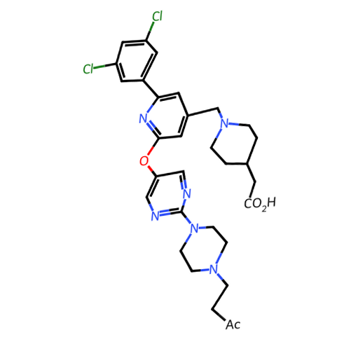 CC(=O)CCN1CCN(c2ncc(Oc3cc(CN4CCC(CC(=O)O)CC4)cc(-c4cc(Cl)cc(Cl)c4)n3)cn2)CC1